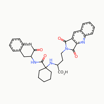 CNC(=O)C(Cc1ccccc1)NC(=O)C1(NC(CCN2C(=O)c3cc4ccccc4nc3C2=O)C(=O)O)CCCCC1